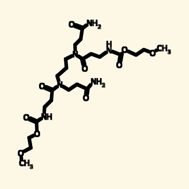 COCCOC(=O)NCCC(=O)N(CCCN(CCC(N)=O)C(=O)CCNC(=O)OCCOC)CCC(N)=O